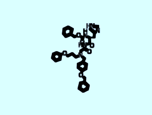 O=C(CN(CCCOc1ccccc1)Cc1ccc(OCc2ccccc2)cc1)NC(=O)[C@H](Cc1c[nH]cn1)NC(=O)OCc1ccccc1